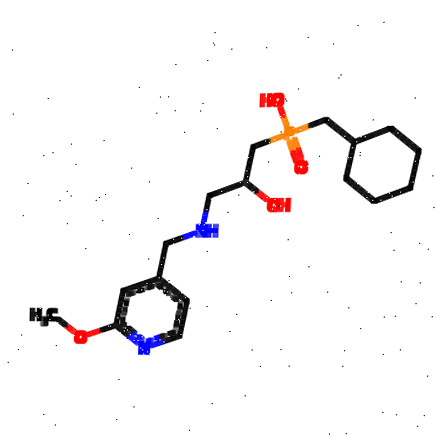 COc1cc(CNCC(O)CP(=O)(O)CC2CCCCC2)ccn1